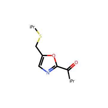 CC(C)SCc1cnc(C(=O)C(C)C)o1